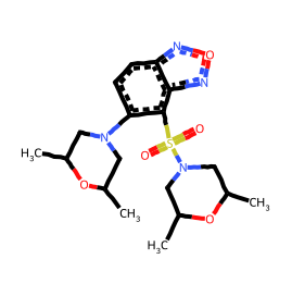 CC1CN(c2ccc3nonc3c2S(=O)(=O)N2CC(C)OC(C)C2)CC(C)O1